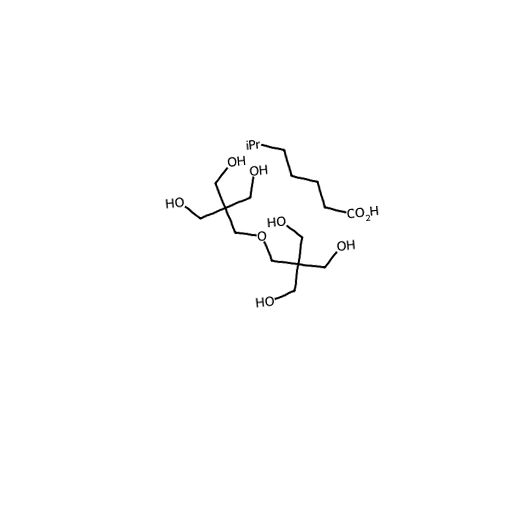 CC(C)CCCCC(=O)O.OCC(CO)(CO)COCC(CO)(CO)CO